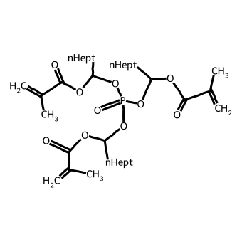 C=C(C)C(=O)OC(CCCCCCC)OP(=O)(OC(CCCCCCC)OC(=O)C(=C)C)OC(CCCCCCC)OC(=O)C(=C)C